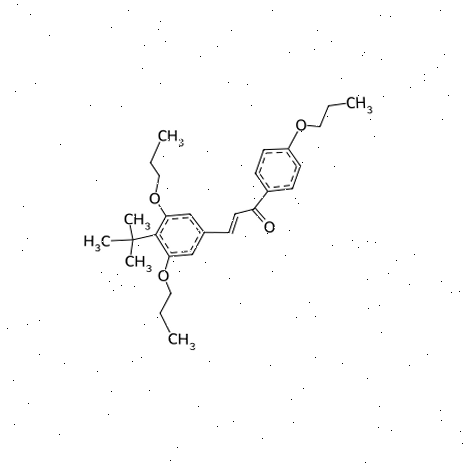 CCCOc1ccc(C(=O)C=Cc2cc(OCCC)c(C(C)(C)C)c(OCCC)c2)cc1